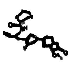 Cn1c(=O)oc2ccc(-c3ccc(CC(C#N)NC(=O)[C@@H]4C=NC=CO4)c(F)c3)cc21